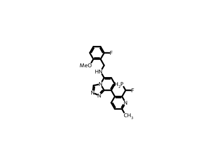 COc1cccc(F)c1CNc1ccc(-c2ccc(C)nc2C(F)P)c2nncn12